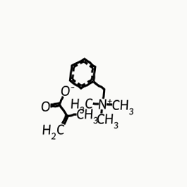 C=C(C)C(=O)[O-].C[N+](C)(C)Cc1ccccc1